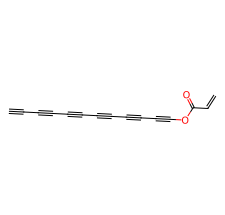 C#CC#CC#CC#CC#CC#COC(=O)C=C